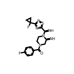 N=C1CN(C(=O)c2ccc(F)cc2)CCN1C(=N)c1nc(C2(F)CC2)ns1